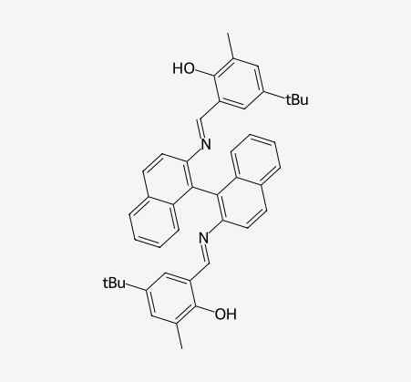 Cc1cc(C(C)(C)C)cc(/C=N/c2ccc3ccccc3c2-c2c(/N=C/c3cc(C(C)(C)C)cc(C)c3O)ccc3ccccc23)c1O